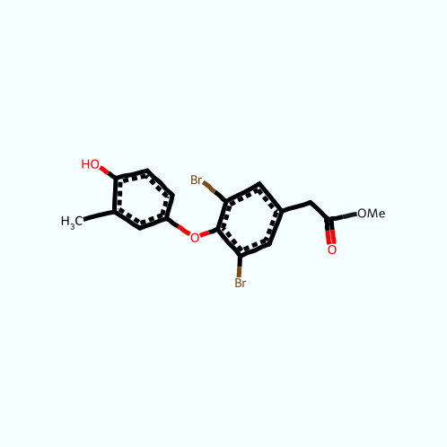 COC(=O)Cc1cc(Br)c(Oc2ccc(O)c(C)c2)c(Br)c1